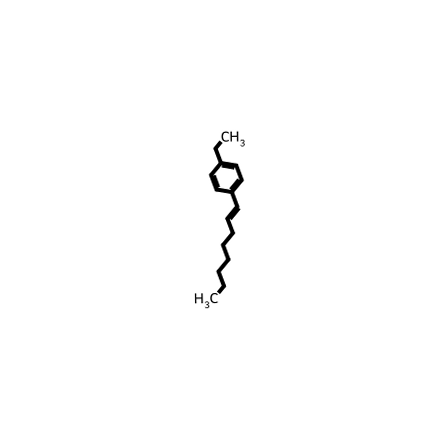 CCCCCCC=Cc1ccc(CC)cc1